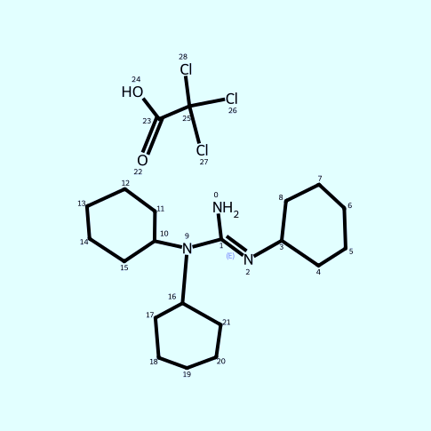 N/C(=N\C1CCCCC1)N(C1CCCCC1)C1CCCCC1.O=C(O)C(Cl)(Cl)Cl